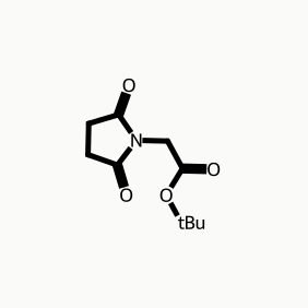 CC(C)(C)OC(=O)CN1C(=O)CCC1=O